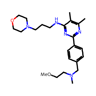 COCCN(C)Cc1ccc(-c2nc(C)c(C)c(NCCCN3CCOCC3)n2)cc1